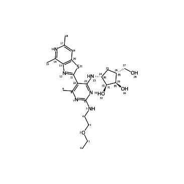 CCOCCNc1nc(C)c(-c2nc3c(C)nc(C)cc3s2)c(N[C@@H]2C[C@H](CO)[C@@H](O)[C@H]2O)n1